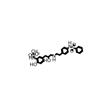 CS(=O)(=O)Nc1cc(CC(O)CNCCc2ccc(NS(=O)(=O)c3ccccc3)cc2)ccc1O